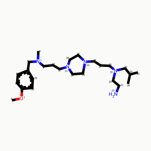 COc1ccc(CN(C)CCCN2CCN(CCCN(CCN)CC(C)C)CC2)cc1